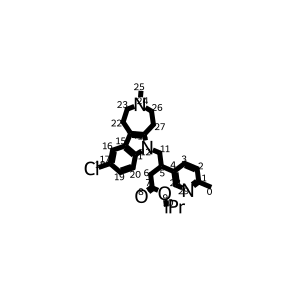 Cc1ccc(C(CC(=O)OC(C)C)Cn2c3c(c4cc(Cl)ccc42)CCN(C)CC3)cn1